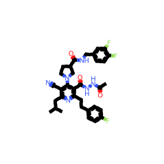 CC(=O)NNC(=O)c1c(CCc2ccc(F)cc2)nc(CC(C)C)c(C#N)c1N1CCC(C(=O)NCc2ccc(F)c(F)c2)C1